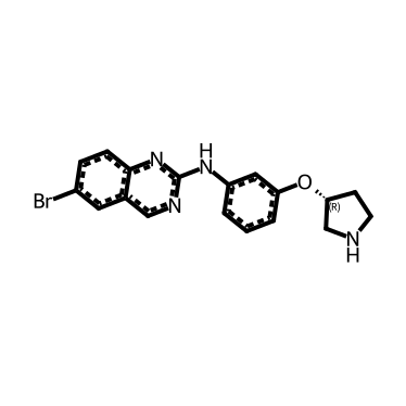 Brc1ccc2nc(Nc3cccc(O[C@@H]4CCNC4)c3)ncc2c1